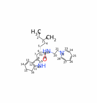 [CH2]C(CC)CC[C@@H](Cc1c[nH]c2c1C=CCC2)C(=O)NCCN1C=CC=CC=C1